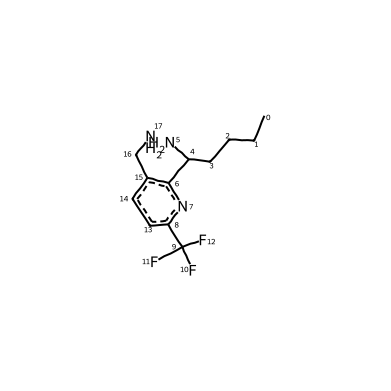 CCCCC(N)c1nc(C(F)(F)F)ccc1CN